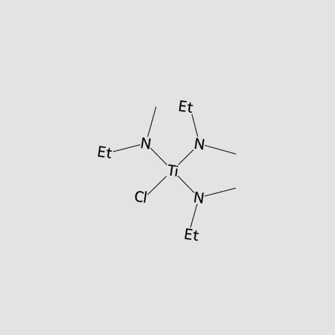 CC[N](C)[Ti]([Cl])([N](C)CC)[N](C)CC